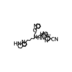 CC(=O)[C@H](CCN(CCCCc1ccc2c(n1)NCCC2)CCOc1ccccn1)Nc1ncc(C#N)c[n+]1O